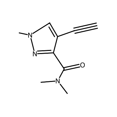 C#Cc1cn(C)nc1C(=O)N(C)C